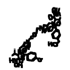 COc1ccc(S(=O)(=O)N(Cc2cn(CCOCCn3cc(CN(C(C(=O)NO)C(C)C)S(=O)(=O)c4ccc(CO)cc4)nn3)nn2)C(C(=O)NO)C(C)C)cc1